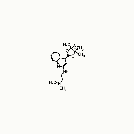 CN(C)CCNC1=CC(B2OC(C)(C)C(C)(C)O2)C2CCC=CC2=N1